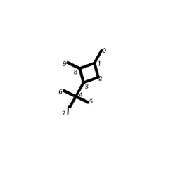 CC1CC(C(C)(C)I)C1C